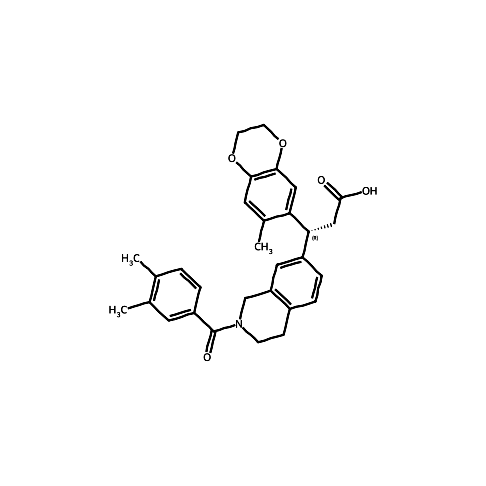 Cc1ccc(C(=O)N2CCc3ccc([C@@H](CC(=O)O)c4cc5c(cc4C)OCCO5)cc3C2)cc1C